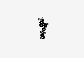 COc1ccc2nccc([C@H]3OC(=O)O[C@@H]3C3CCC(C(=O)Nc4ccc5c(c4)OCCO5)CC3)c2n1